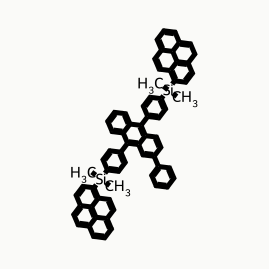 C[Si](C)(c1ccc(-c2c3ccccc3c(-c3ccc([Si](C)(C)c4ccc5ccc6cccc7ccc4c5c67)cc3)c3cc(-c4ccccc4)ccc23)cc1)c1ccc2c3c1C=CC1=CC=CC(=CC2)C13